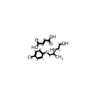 CC(CSc1ccc(Cl)cc1)NCCO.O=C(O)C=CC(=O)O